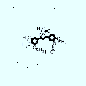 COCOc1cc(C2CC(c3cc(C)c(C)c(OC)c3)=NN2C(C)=O)ccc1OC